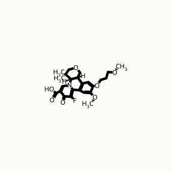 COCCCOc1cc2c(cc1OC)-c1c(F)c(=O)c(C(=O)O)cn1[C@H]1[C@@H]2COCC1(C)C